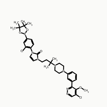 COc1c(Cl)cnnc1-c1cccc(N2CCN(C(C)(C)CCn3ccn(-c4ccc(B5OC(C)(C)C(C)(C)O5)cc4Cl)c3=O)CC2)c1